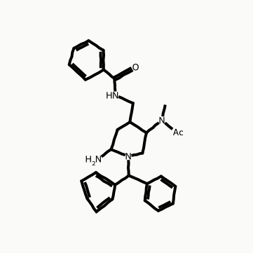 CC(=O)N(C)C1CN(C(c2ccccc2)c2ccccc2)C(N)CC1CNC(=O)c1ccccc1